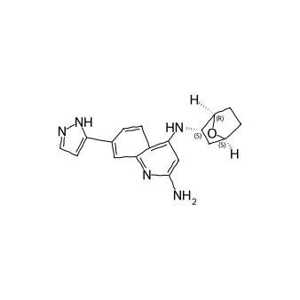 Nc1cc(N[C@H]2C[C@@H]3CC[C@H]2O3)c2ccc(-c3ccn[nH]3)cc2n1